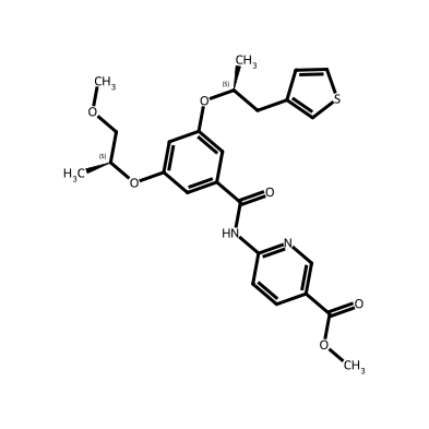 COC[C@H](C)Oc1cc(O[C@@H](C)Cc2ccsc2)cc(C(=O)Nc2ccc(C(=O)OC)cn2)c1